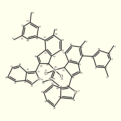 Cc1cc(C)cc(-c2c(C)ccc3c2C=C(c2occ4ccccc24)[CH]3[Zr]([Cl])([Cl])([CH]2C(c3occ4ccccc34)=Cc3c2ccc(C)c3-c2cc(C)cc(C)c2)=[Si](C)C)c1